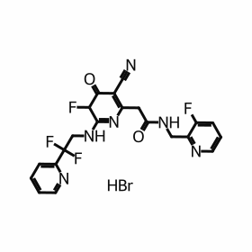 Br.N#CC1=C(CC(=O)NCc2ncccc2F)N=C(NCC(F)(F)c2ccccn2)C(F)C1=O